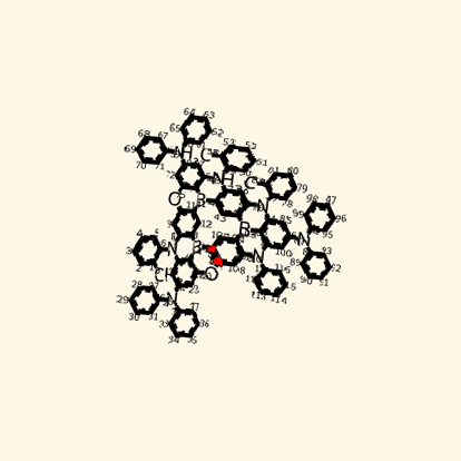 Cc1ccccc1N1c2cc3c(cc2B2c4ccccc4Oc4cc(N(c5ccccc5)c5ccccc5)cc1c42)B1c2cc4c(cc2N(c2ccccc2C)c2cc(N(c5ccccc5)c5ccccc5)cc(c21)O3)N(c1ccccc1C)c1cc(N(c2ccccc2)c2ccccc2)cc2c1B4c1ccccc1N2c1ccccc1